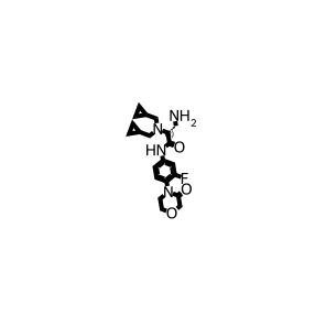 NC[C@H](C(=O)Nc1ccc(N2CCOCC2=O)c(F)c1)N(CC1CC1)CC1CC1